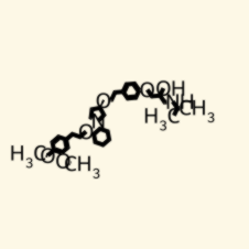 COc1ccc(CCO[C@@H]2CCCC[C@@H]2N2CC[C@@H](OCCc3ccc(OCC(O)CNC(C)C)cc3)C2)cc1OC